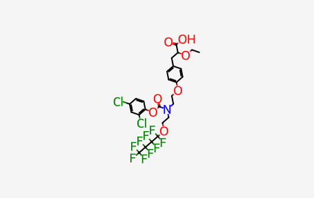 CCOC(Cc1ccc(OCCN(CCOC(F)(F)C(F)(F)C(F)(F)C(F)(F)F)C(=O)Oc2ccc(Cl)cc2Cl)cc1)C(=O)O